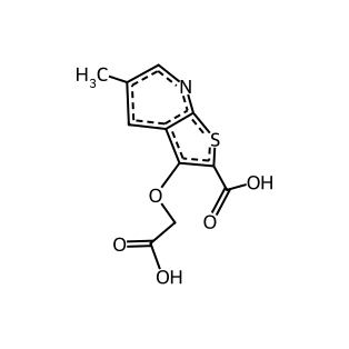 Cc1cnc2sc(C(=O)O)c(OCC(=O)O)c2c1